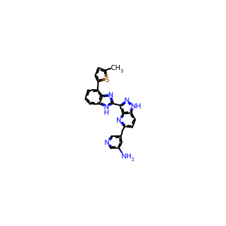 Cc1ccc(-c2cccc3[nH]c(-c4n[nH]c5ccc(-c6cncc(N)c6)nc45)nc23)s1